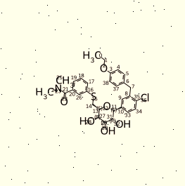 CCOc1ccc(Cc2cc([C@@H]3O[C@H](CSc4cccc(C(=O)N(C)C)c4)[C@H](O)[C@@H](O)[C@H]3O)ccc2Cl)cc1